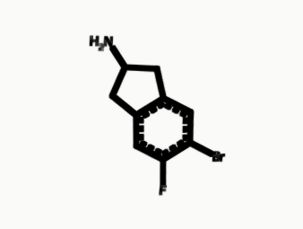 NC1Cc2cc(F)c(Br)cc2C1